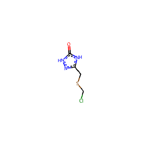 O=c1[nH]nc(CSCCl)[nH]1